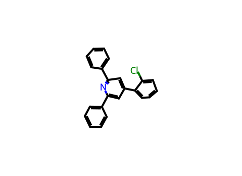 Clc1ccccc1-c1cc(-c2ccccc2)nc(-c2ccccc2)c1